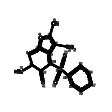 CCCCC1C=c2oc(O)c([N+](=O)[O-])c2=C(S(=O)(=O)c2ccccc2)C1=O